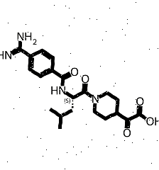 CC(C)C[C@H](NC(=O)c1ccc(C(=N)N)cc1)C(=O)N1CCC(C(=O)C(=O)O)CC1